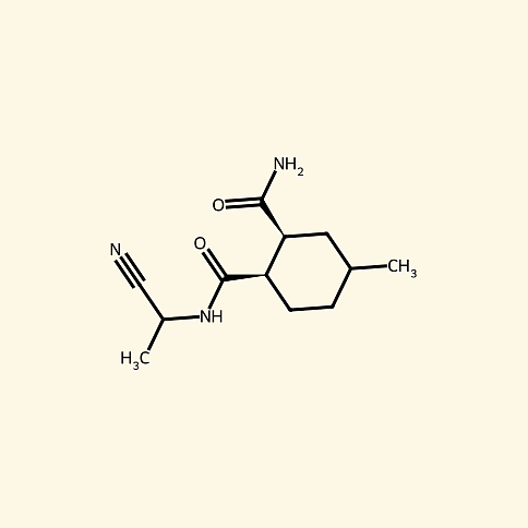 CC1CC[C@@H](C(=O)NC(C)C#N)[C@@H](C(N)=O)C1